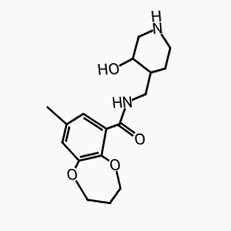 Cc1cc2c(c(C(=O)NCC3CCNCC3O)c1)OCCCO2